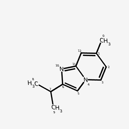 Cc1ccn2cc(C(C)C)nc2c1